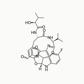 CC(C)[C@H](O)C(=O)N[C@H]1Cc2ccc3c(c2)[C@@]2(c4cc(F)ccc4N[C@@H]2O3)c2oc(nc2-c2nc(C=O)co2)[C@H](C(C)C)NC1=O